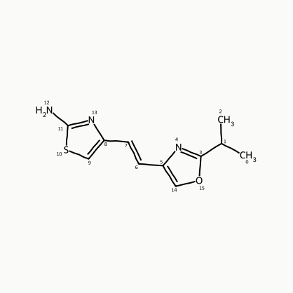 CC(C)c1nc(C=Cc2csc(N)n2)co1